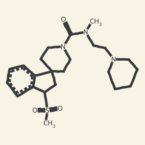 CN(CCN1CCCCC1)C(=O)N1CCC2(CC1)CC(S(C)(=O)=O)c1ccccc12